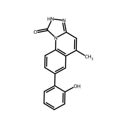 Cc1cc2n[nH]c(=O)n2c2ccc(-c3ccccc3O)cc12